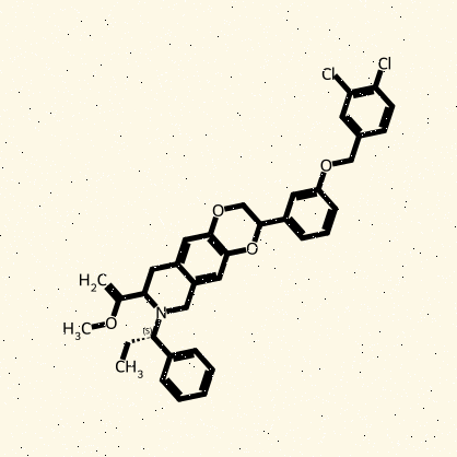 C=C(OC)C1Cc2cc3c(cc2CN1[C@@H](CC)c1ccccc1)OC(c1cccc(OCc2ccc(Cl)c(Cl)c2)c1)CO3